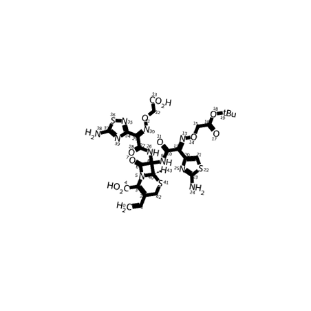 C=CC1=C(C(=O)O)N2C(=O)C(NC(=O)/C(=N/OCC(=O)OC(C)(C)C)c3csc(N)n3)(NC(=O)/C(=N/OCC(=O)O)c3nsc(N)n3)[C@H]2SC1